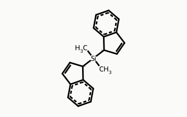 C[Si](C)([C]1C=Cc2ccccc21)[C]1C=Cc2ccccc21